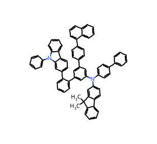 CC1(C)c2ccccc2-c2ccc(N(c3ccc(-c4ccccc4)cc3)c3cc(-c4ccc(-c5cccc6ccccc56)cc4)cc(-c4ccccc4-c4ccc5c6ccccc6n(-c6ccccc6)c5c4)c3)cc21